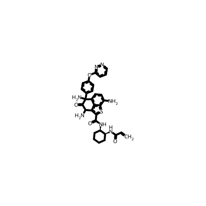 C=CC(=O)N[C@H]1CCCC[C@H]1NC(=O)c1sc2c(N)ccc3c2c1C(N)C(=O)C3(N)c1ccc(Oc2cccnn2)cc1